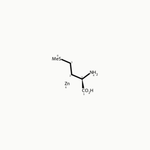 CSCC[C@@H](N)C(=O)O.[Zn]